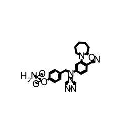 N#Cc1ccc(N(Cc2ccc(OS(N)(=O)=O)cc2)n2cnnc2)cc1N1CCCCCC1=O